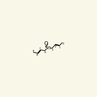 CC=C[CH2][Sn](=[O])[CH2]C=CC